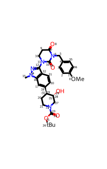 COc1ccc(CN2C(=O)CCN(c3nn(C)c4cc([C@@H]5CCN(C(=O)OC(C)(C)C)C[C@H]5O)ccc34)C2=O)cc1